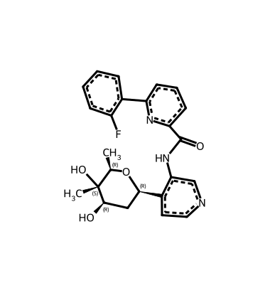 C[C@H]1O[C@@H](c2ccncc2NC(=O)c2cccc(-c3ccccc3F)n2)C[C@@H](O)[C@]1(C)O